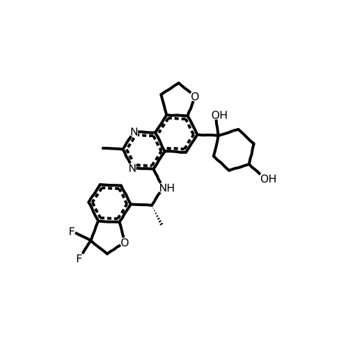 Cc1nc(N[C@H](C)c2cccc3c2OCC3(F)F)c2cc(C3(O)CCC(O)CC3)c3c(c2n1)CCO3